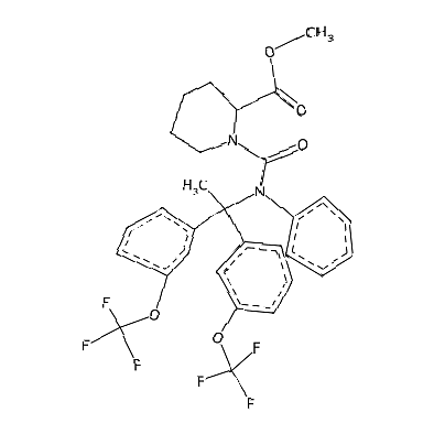 COC(=O)C1CCCCN1C(=O)N(c1ccccc1)C(C)(c1cccc(OC(F)(F)F)c1)c1cccc(OC(F)(F)F)c1